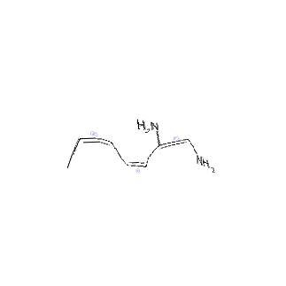 C\C=C/C=C\C(N)=C/N